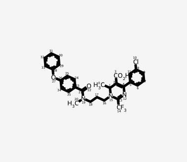 CC1C(C(=O)O)=C(c2cccc(Cl)c2)N=C(C(F)(F)F)N1CCCN(C)C(=O)c1ccc(Oc2ccccc2)cc1